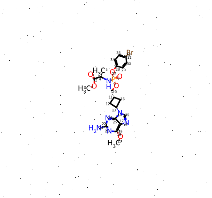 COC(=O)[C@H](C)NP(=O)(OC[C@H]1C[C@@H](n2cnc3c(OC)nc(N)nc32)C1)Oc1ccc(Br)cc1